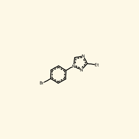 CCc1ncn(-c2ccc(Br)cc2)n1